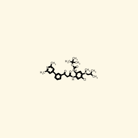 Cc1cc(-c2cccc(C(=O)CC(=O)Nc3cc(Cl)c(N(C)CC(C)C)cc3NC(=O)OC(C)(C)C)c2)cc(C)n1